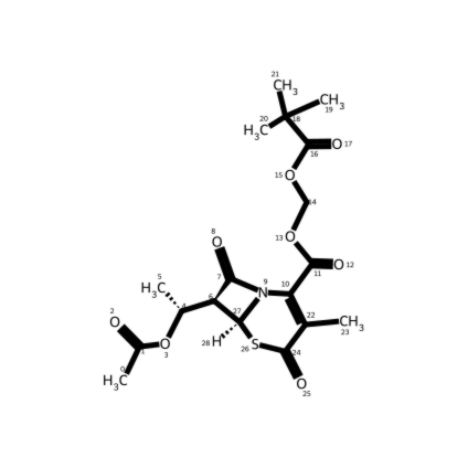 CC(=O)O[C@H](C)[C@H]1C(=O)N2C(C(=O)OCOC(=O)C(C)(C)C)=C(C)C(=O)S[C@@H]12